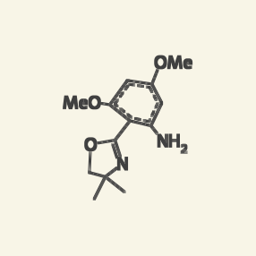 COc1cc(N)c(C2=NC(C)(C)CO2)c(OC)c1